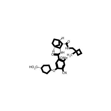 COc1cc(C#N)c(O[C@H]2CC[C@@H](C(=O)O)CC2)cc1C(=O)N[C@@H]1[C@H]2CC[C@H](C2)[C@@H]1C(=O)NCC1(C)CCC1